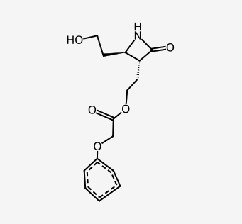 O=C(COc1ccccc1)OCC[C@H]1C(=O)N[C@@H]1CCO